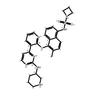 Cc1ccc2c(NS(=O)(=O)N3CCC3)cccc2c1Oc1ncccc1-c1ccnc(NC2CCCNC2)n1